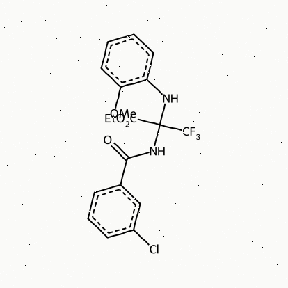 CCOC(=O)C(NC(=O)c1cccc(Cl)c1)(Nc1ccccc1OC)C(F)(F)F